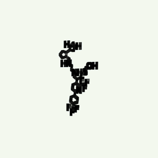 OCSCCC(CNCCNC[C@H]1CCCC1C1C[C@H]2C[C@@H]12)c1ccc(-c2ccc(C(F)(F)F)cc2)nc1C(F)(F)F